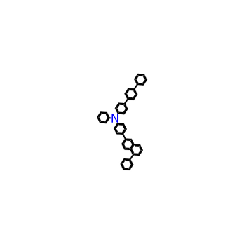 c1ccc(-c2ccc(-c3ccc(N(c4ccccc4)c4ccc(-c5ccc6c(-c7ccccc7)cccc6c5)cc4)cc3)cc2)cc1